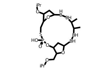 CC(C)OCC1OC2BBC(C)C(C)BBC3CC(OC(C)C)C(CSP(=O)(O)OC1C2)O3